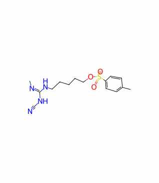 C/N=C(/NC#N)NCCCCCOS(=O)(=O)c1ccc(C)cc1